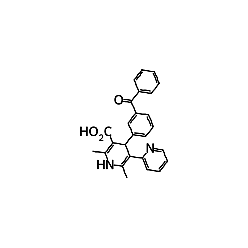 CC1=C(C(=O)O)C(c2cccc(C(=O)c3ccccc3)c2)C(c2ccccn2)=C(C)N1